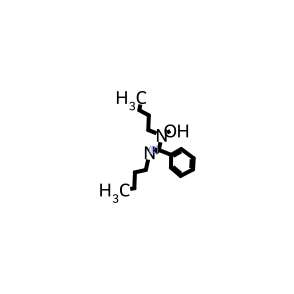 CCCC/N=C(\c1ccccc1)N(O)CCCC